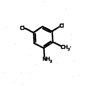 [CH2]c1c(N)cc(Cl)cc1Cl